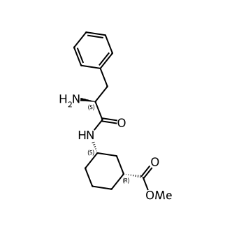 COC(=O)[C@@H]1CCC[C@H](NC(=O)[C@@H](N)Cc2ccccc2)C1